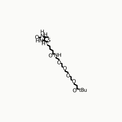 CC(C)(C)C(=O)CCOCCOCCOCCOCCNC(=O)CCCC[C@H]1SC[C@H]2NC(=O)N[C@H]21